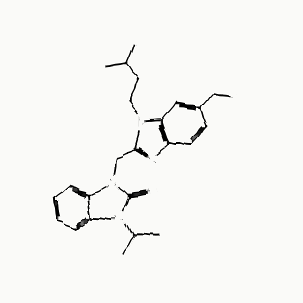 CC(C)CCn1c(Cn2c(=O)n(C(C)C)c3ccccc32)nc2ccc(CCl)cc21